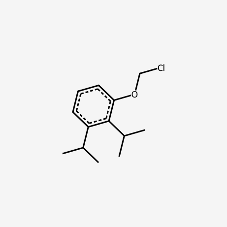 CC(C)c1cccc(OCCl)c1C(C)C